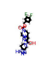 O=C(OCc1ccc(F)c(F)c1)N1CCc2cc(C(O)N3CCc4[nH]nnc4C3)nn2CC1